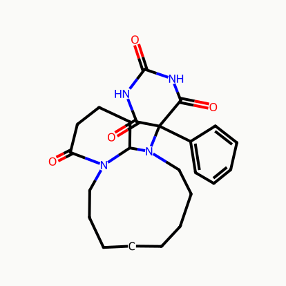 O=C1NC(=O)C(c2ccccc2)(N2CCCCCCCCN3C(=O)CCCC32)C(=O)N1